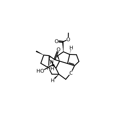 COC(=O)[C@@H]1C[C@]23C(=O)[C@]45C[C@@H](O)[C@H]2[C@H](CCC2=C3[C@@H]1CC2)CN4C[C@H]5C